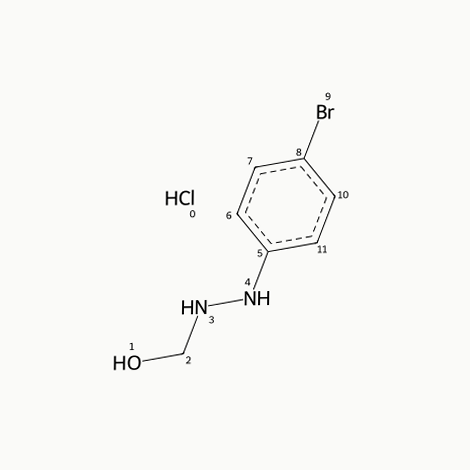 Cl.OCNNc1ccc(Br)cc1